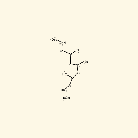 CCCCCCCCNCC(O)CN(CCCC)CC(O)CNCCCCCCCC